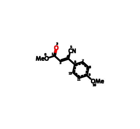 COC(=O)C=C(C#N)c1ccc(OC)cc1